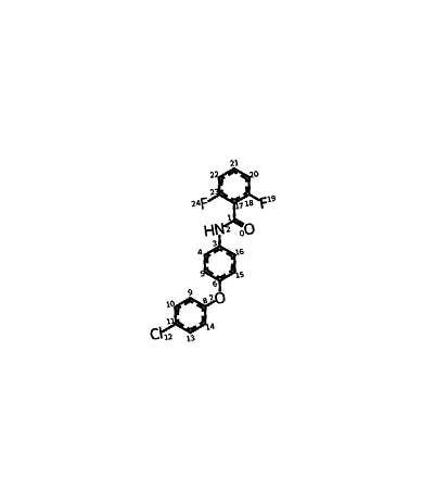 O=C(Nc1ccc(Oc2ccc(Cl)cc2)cc1)c1c(F)cccc1F